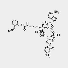 [N-]=[N+]=Nc1ccccc1COC(=O)NCCCC[C@H](N)C(=O)O[C@H]1[C@@H](O)[C@H](n2cnc3c(N)ncnc32)O[C@@H]1COP(=O)(O)O[C@H]1C[C@H](n2ccc(N)nc2=O)O[C@@H]1CCOP(=O)(O)O